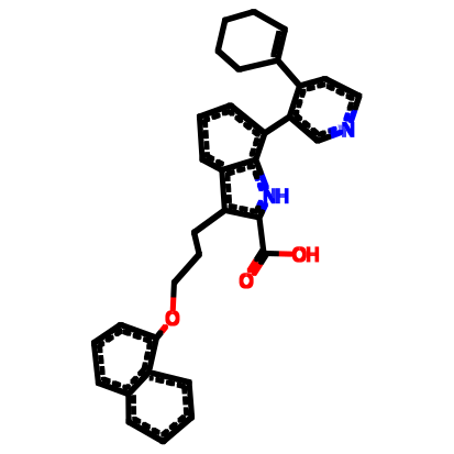 O=C(O)c1[nH]c2c(-c3cnccc3C3=CCCCC3)cccc2c1CCCOc1cccc2ccccc12